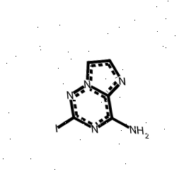 Nc1nc(I)nn2ccnc12